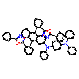 c1ccc(-c2nnc(-c3ccccc3-c3c4ccccc4c(-c4ccccc4-c4nnc(-c5ccccc5)o4)c4cc(N(c5ccccc5)c5ccc(N(c6ccccc6)c6ccccc6)cc5)ccc34)o2)cc1